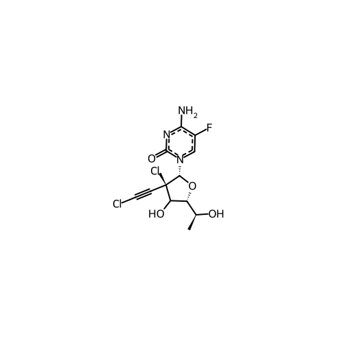 C[C@H](O)[C@H]1O[C@@H](n2cc(F)c(N)nc2=O)[C@@](Cl)(C#CCl)C1O